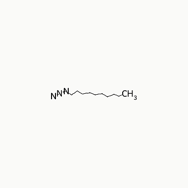 CCCCCCCCCCN=[N+]=[N-]